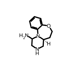 NC1CNC[C@@H]2CCOc3ccccc3N12